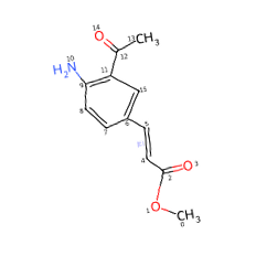 COC(=O)/C=C/c1ccc(N)c(C(C)=O)c1